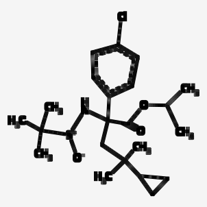 CC(C)OC(=O)C(CC(C)(C)C1CC1)(N[S+]([O-])C(C)(C)C)c1ccc(Cl)cc1